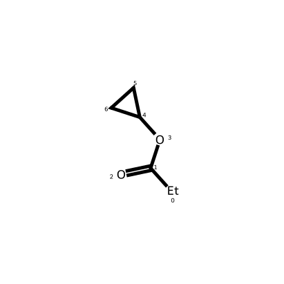 CCC(=O)OC1CC1